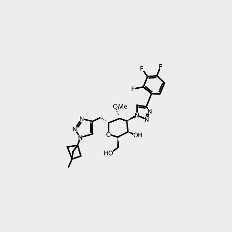 CO[C@@H]1[C@@H](n2cc(-c3ccc(F)c(F)c3F)nn2)[C@@H](O)[C@@H](CO)O[C@@H]1Cc1cn(C23CC(C)(C2)C3)nn1